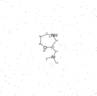 CN(C)C[C]1CNCCCO1